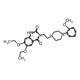 CCOc1cc2[nH]c(=O)n(CCN3CCN(c4ccccc4OC)CC3)c(=O)c2cc1OCC